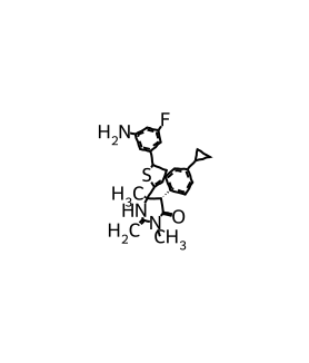 C=C1N[C@](C)(C2=CCC(c3cc(N)cc(F)c3)S2)[C@H](c2ccc(C3CC3)cc2)C(=O)N1C